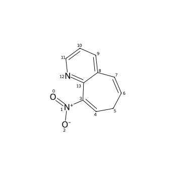 O=[N+]([O-])C1=CCC=Cc2cccnc21